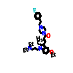 CCOc1ccc2c(c1)c(/C=C/C(=O)N1CCN(CCc3ccc(F)cc3)CC1)c(C)n2CCCN(CC)CC